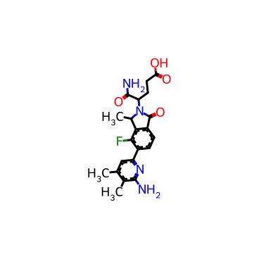 Cc1cc(-c2ccc3c(c2F)C(C)N(C(CCC(=O)O)C(N)=O)C3=O)nc(N)c1C